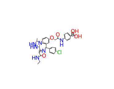 CCNC(=O)C[C@@H]1N=C(c2ccc(Cl)cc2)c2cc(OCC(=O)Nc3ccc(B(O)O)cc3)ccc2N2C(C)NNC12